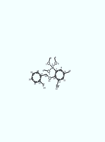 CO[Si](OC)(OC)c1cc(C)cc(Br)c1OCc1ccccc1F